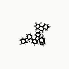 c1cc(-c2cccc3c2oc2ccccc23)c2c(c1)C1(c3cc(-c4cc5ccccc5c5ccccc45)ccc3-2)C2CC3CC(C2)CC1C3